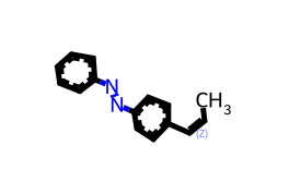 C/C=C\c1ccc(N=Nc2ccccc2)cc1